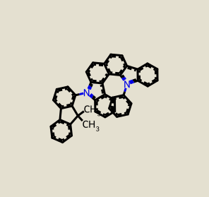 CC1(C)c2ccccc2-c2cccc(-n3c4ccccc4c4c5c(ccc6c7ccccc7n(-c7ccccc7)c65)ccc43)c21